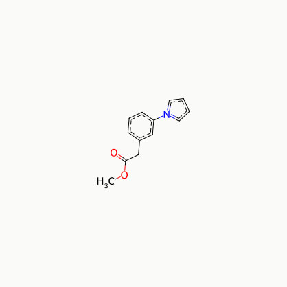 COC(=O)Cc1cccc(-n2cccc2)c1